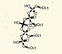 CCCCCCCCOP(=O)(O)OP(=O)(OCCCCCCCC)OC(O)(OP(=O)(OCCCCCCCC)OP(=O)(O)OCCCCCCCC)C(=O)O